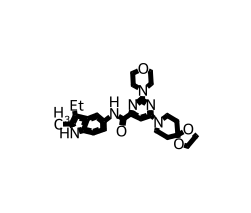 CCc1c(C)[nH]c2ccc(NC(=O)c3cc(N4CCC5(CC4)OCCO5)nc(N4CCOCC4)n3)cc12